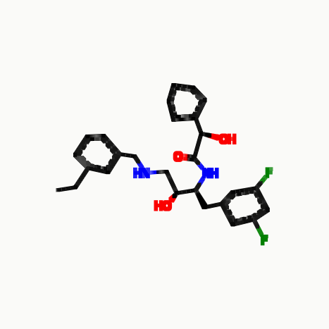 CCc1cccc(CNC[C@H](O)[C@H](Cc2cc(F)cc(F)c2)NC(=O)[C@H](O)c2ccccc2)c1